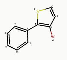 Brc1c[c]sc1-c1ccccc1